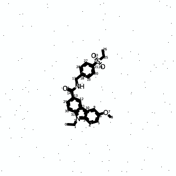 CCn1c2ccc(OC)cc2c2cc(C(=O)NCc3ccc(S(=O)(=O)CC)cc3)ccc21